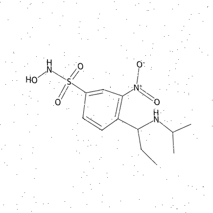 CCC(NC(C)C)c1ccc(S(=O)(=O)NO)cc1[N+](=O)[O-]